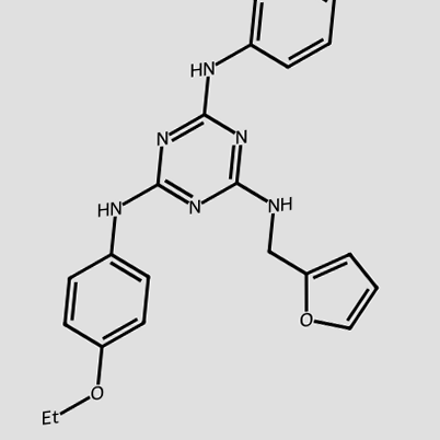 CCOc1ccc(Nc2nc(NCc3ccco3)nc(Nc3ccc(O)cc3)n2)cc1